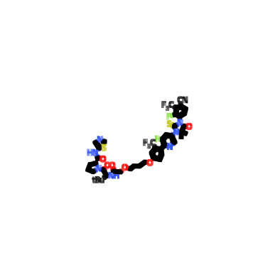 CC(C)(C)C(NC(=O)COCCCCOc1ccc(-c2ncc(N3C(=S)N(c4ccc(C#N)c(C(F)(F)F)c4F)C(=O)C3(C)C)cc2F)c(C(F)(F)F)c1)C(=O)N1CCC[C@H]1C(=O)Nc1cncs1